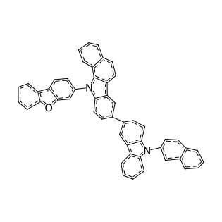 c1ccc2cc(-n3c4ccccc4c4cc(-c5ccc6c(c5)c5ccc7ccccc7c5n6-c5ccc6c(c5)oc5ccccc56)ccc43)ccc2c1